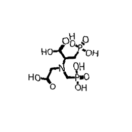 O=C(O)CN(CP(=O)(O)O)C(CP(=O)(O)O)C(=O)O